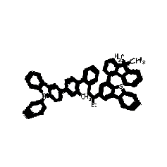 CCC(Cc1ccccc1-c1ccc(-c2ccc3c(c2)c2ccccc2n3-c2ccccc2)cc1C)c1cc(-c2cccc3c2-c2ccccc2C3(C)C)c2sc3ccccc3c2c1